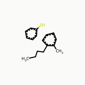 CCCCc1ccccc1C.Sc1ccccc1